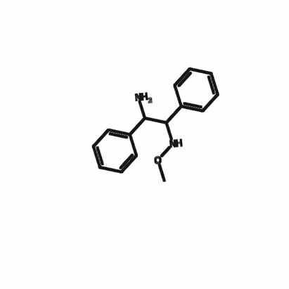 CONC(c1ccccc1)C(N)c1ccccc1